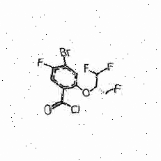 O=C(Cl)c1cc(F)c(Br)cc1O[C@@H](CF)C(F)F